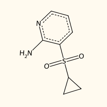 Nc1ncccc1S(=O)(=O)C1CC1